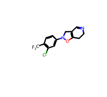 FC(F)(F)c1ccc(N2CC3=C(CCN=C3)O2)cc1Cl